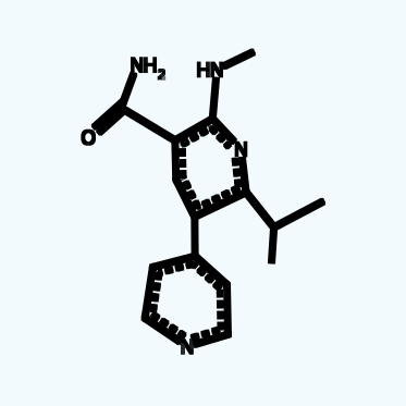 CNc1nc(C(C)C)c(-c2ccncc2)cc1C(N)=O